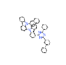 c1ccc(-c2cccc(-c3nc(-c4ccccc4)nc(-c4cccc5c4c4ccccc4n5-c4cccc5c6ccccc6n(-c6ccc7ccccc7c6)c45)n3)c2)cc1